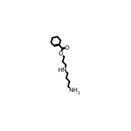 NCCCCNCCCOC(=O)C1=CCCCC1